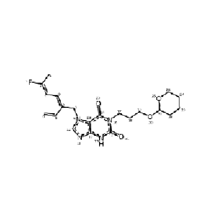 C=C/C(=C\C=C(/C)F)Cn1cnc2[nH]c(=O)n(CCCOC3CCCCO3)c(=O)c21